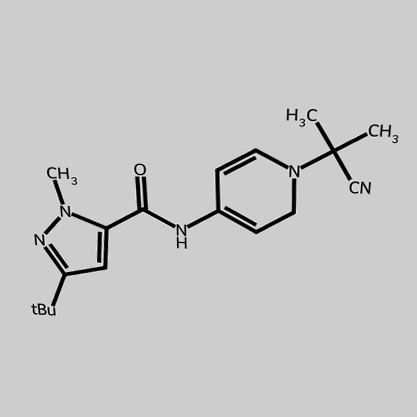 Cn1nc(C(C)(C)C)cc1C(=O)NC1=CCN(C(C)(C)C#N)C=C1